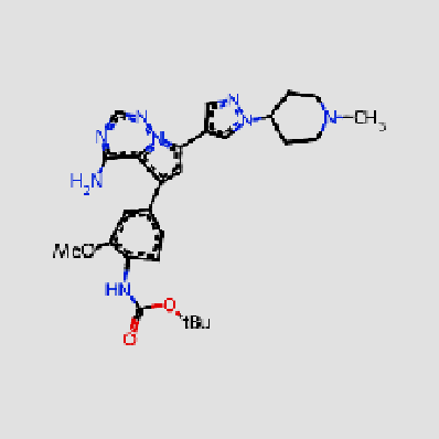 COc1cc(-c2cc(-c3cnn(C4CCN(C)CC4)c3)n3ncnc(N)c23)ccc1NC(=O)OC(C)(C)C